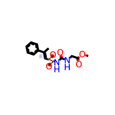 COC(=O)CNC(=O)NS(=O)(=O)/C=C(\C)c1ccccc1